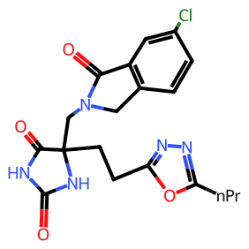 CCCc1nnc(CCC2(CN3Cc4ccc(Cl)cc4C3=O)NC(=O)NC2=O)o1